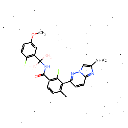 BC(B)(NC(=O)c1ccc(C)c(-c2ccc3nc(NC(C)=O)cn3n2)c1F)c1cc(OC(F)(F)F)ccc1F